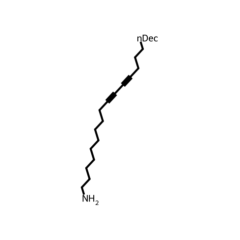 CCCCCCCCCCCCCC#CC#CCCCCCCCCCN